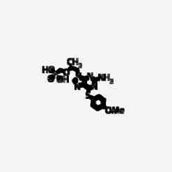 COc1ccc(Sc2nc(N)nc3c2ncn3C[C@@H](C)OCP(=O)(O)O)cc1